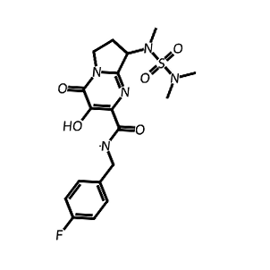 CN(C)S(=O)(=O)N(C)C1CCn2c1nc(C(=O)[N]Cc1ccc(F)cc1)c(O)c2=O